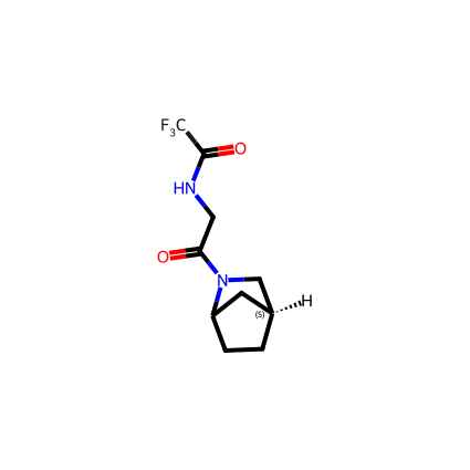 O=C(CNC(=O)C(F)(F)F)N1C[C@H]2CCC1C2